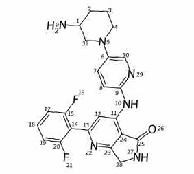 NC1CCCN(c2ccc(Nc3cc(-c4c(F)cccc4F)nc4c3C(=O)NC4)nc2)C1